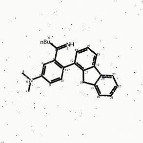 CCCCC(=N)c1cc(N(C)C)ccc1-c1cccc2c1Cc1ccccc1-2